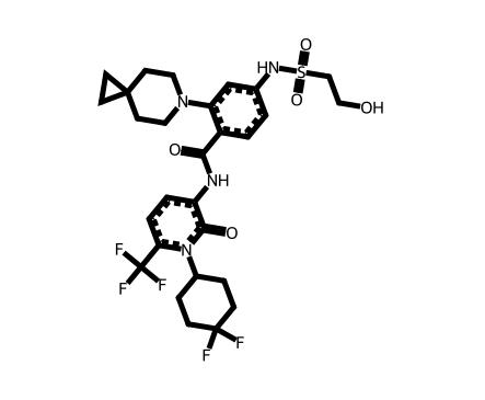 O=C(Nc1ccc(C(F)(F)F)n(C2CCC(F)(F)CC2)c1=O)c1ccc(NS(=O)(=O)CCO)cc1N1CCC2(CC1)CC2